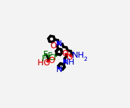 NC(=O)CCCCCN(CC1CCCCC1)C(=O)c1cc(Cl)cc(OCCNc2ccncc2)c1.O=C(O)C(F)(F)F